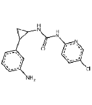 Nc1cccc(C2CC2NC(=O)Nc2ccc(Cl)cn2)c1